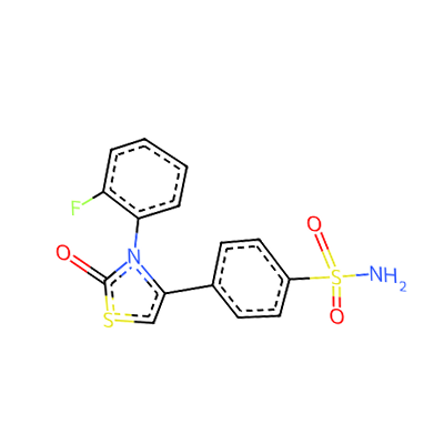 NS(=O)(=O)c1ccc(-c2csc(=O)n2-c2ccccc2F)cc1